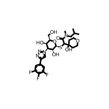 CC(C)CN(C)C(=O)C(S[C@@H]1O[C@H](CO)[C@H](O)[C@H](n2cc(-c3cc(F)c(F)c(F)c3)nn2)[C@H]1O)C1(O)CCOCC1